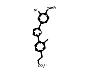 Cc1cc(CCC(=O)O)ccc1-c1ccc(-c2ccc(OC(C)C)c(C#N)c2)s1